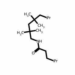 CC(C)CCC(=O)NCC(C)(C)CC(C)(C)CC(C)C